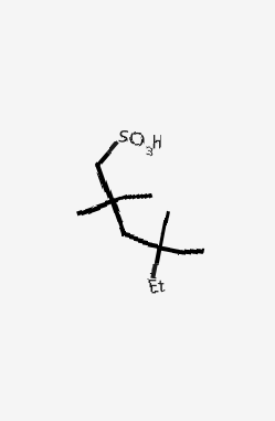 CCC(C)(C)CC(C)(C)CS(=O)(=O)O